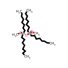 CCCCCCC[CH2][Sn]([CH2]CCCCCCC)([O]C)[O][Sn]([CH2]CCCCCCC)([CH2]CCCCCCC)[O]C